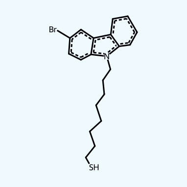 SCCCCCCCCn1c2ccccc2c2cc(Br)ccc21